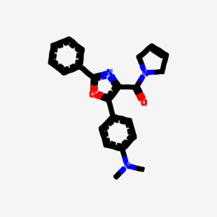 CN(C)c1ccc(-c2oc(-c3ccccc3)nc2C(=O)N2CC=CC2)cc1